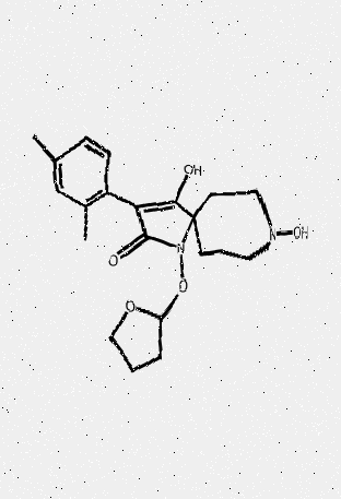 Cc1ccc(C2=C(O)C3(CCN(O)CC3)N(OC3CCCO3)C2=O)c(C)c1